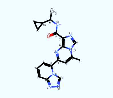 Cc1cc(-c2cccc3nncn23)nc2c(C(=O)NC(C3CC3)C(F)(F)F)ncn12